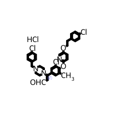 Cc1cc(/C(=C/C=O)N2CCN(Cc3ccc(Cl)cc3)CC2)cc(Cl)c1Oc1ccc(OCCc2ccc(Cl)cc2)cn1.Cl